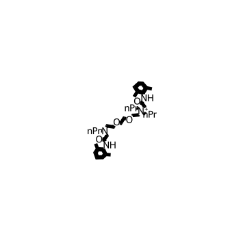 CCCN(CCOCCOCC[N+](CCC)(CCC)CC(=O)Nc1c(C)cccc1C)CC(=O)Nc1c(C)cccc1C